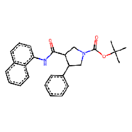 CC(C)(C)OC(=O)N1CC(C(=O)Nc2cccc3ccccc23)C(c2ccccc2)C1